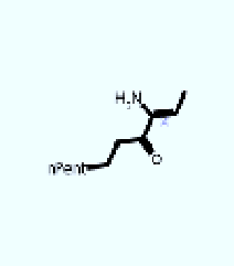 C/C=C(\N)C(=O)CCCCCCC